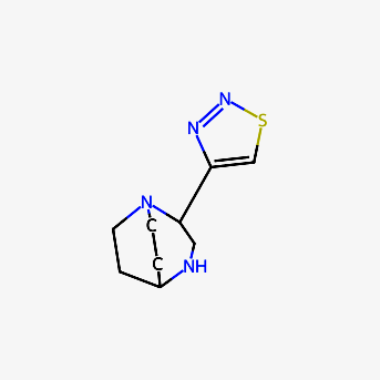 c1snnc1C1CNC2CCN1CC2